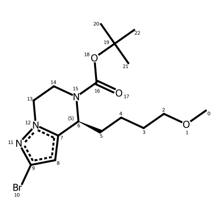 COCCCC[C@H]1c2cc(Br)nn2CCN1C(=O)OC(C)(C)C